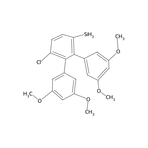 COc1cc(OC)cc(-c2c([SiH3])ccc(Cl)c2-c2cc(OC)cc(OC)c2)c1